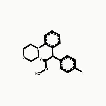 O=C(NO)C(c1ccc(F)cc1)c1ccccc1N1CCOCC1